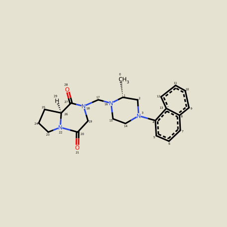 C[C@@H]1CN(c2cccc3ccccc23)CCN1CN1CC(=O)N2CCC[C@H]2C1=O